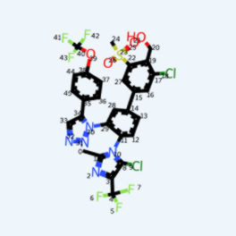 Cc1nc(C(F)(F)F)c(Cl)n1-c1ccc(-c2cc(Cl)c(CO)c(S(C)(=O)=O)c2)cc1-n1nncc1-c1ccc(OC(F)(F)F)cc1